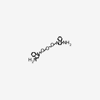 Nc1cc[n+](CCOCCOCCOCC[n+]2ccc(N)c3ccccc32)c2ccccc12